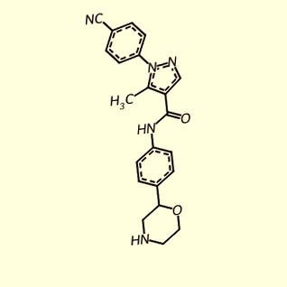 Cc1c(C(=O)Nc2ccc(C3CNCCO3)cc2)cnn1-c1ccc(C#N)cc1